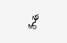 CN(C)C(=O)CCc1cscn1